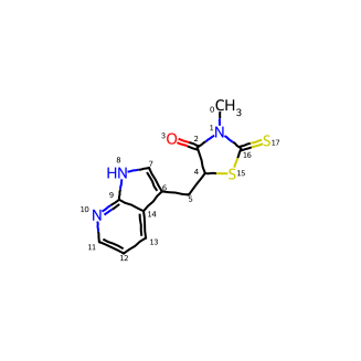 CN1C(=O)C(Cc2c[nH]c3ncccc23)SC1=S